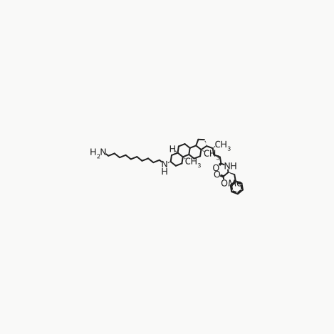 COC(=O)[C@H](Cc1ccccc1)NC(=O)CC[C@@H](C)[C@H]1CCC2C3CC[C@@H]4C[C@@H](NCCCCCCCCCCN)CC[C@]4(C)C3CC[C@@]21C